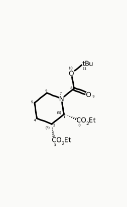 CCOC(=O)[C@@H]1[C@H](C(=O)OCC)CCCN1C(=O)OC(C)(C)C